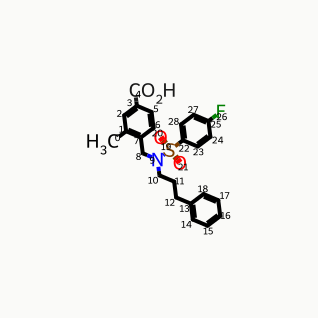 Cc1cc(C(=O)O)ccc1CN(CCCc1ccccc1)S(=O)(=O)c1ccc(F)cc1